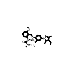 CCc1c(C)nn(-c2ccc(OCc3c(OC)cccc3N(N)C(=O)N(C)N)c(C)c2)c1C